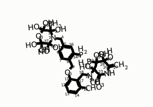 BC1(O)N(Cc2ccc(COc3cccc(C=O)c3CN(C)C3(O)C(=O)NC(=C)C(O)(O)C3(B)O)c(P)c2)C(O)(O)C(O)(O)OC1(O)O